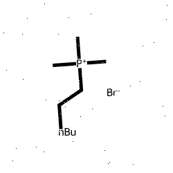 CCCCCC[P+](C)(C)C.[Br-]